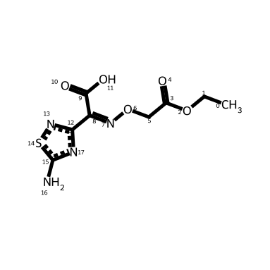 CCOC(=O)CO/N=C(\C(=O)O)c1nsc(N)n1